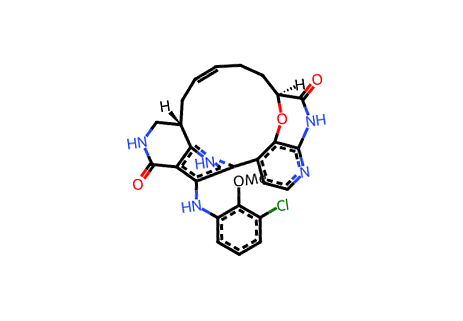 COc1c(Cl)cccc1Nc1c2[nH]c3c1C(=O)NC[C@@H]3C/C=C\CC[C@@H]1Oc3c-2ccnc3NC1=O